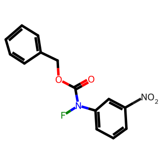 O=C(OCc1ccccc1)N(F)c1cccc([N+](=O)[O-])c1